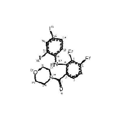 O=C(c1ccc(F)c(F)c1Nc1ccc(I)cc1F)N1CCOCC1